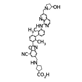 Cc1c(Nc2nccc3cc(CN4CC[C@@H](O)C4)cnc23)cccc1-c1cccc(-c2nc3cc(CNC4CCC(C(=O)O)C4)cc(C#N)c3o2)c1C